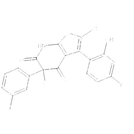 Cc1cccc(C2(Cl)C(=O)Nc3sc(Cl)c(-c4ccc(F)cc4O)c3C2=O)c1